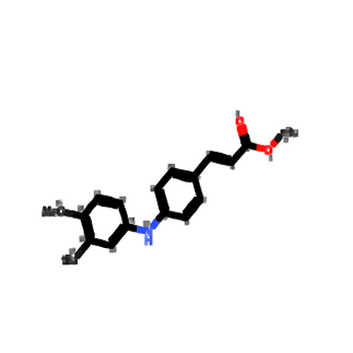 CCCCOC(=O)/C=C/c1ccc(Nc2ccc(OC)c(C(C)(C)C)c2)cc1